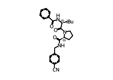 CCC(C)[C@H](NC(=O)c1ccccc1)C(=O)N1CCC[C@H]1C(=O)NCc1ccc(C#N)cc1